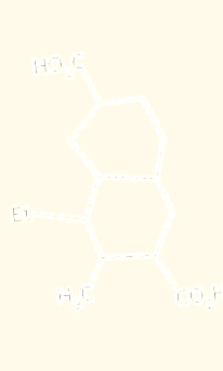 CCC1C(C)C(C(=O)O)CC2CCC(C(=O)O)CC21